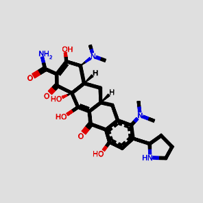 CN(C)c1c(C2CCCN2)cc(O)c2c1C[C@H]1C[C@H]3[C@H](N(C)C)C(O)=C(C(N)=O)C(=O)[C@@]3(O)C(O)=C1C2=O